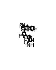 CNC(=O)c1cnn2ccc(-c3cc(C(=O)NC4(c5nc(C)no5)CC4c4ccc(F)cc4)cc(F)c3C)c(F)c12